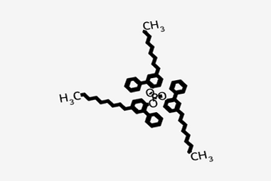 CCCCCCCCCc1ccc(OP(Oc2ccc(CCCCCCCCC)cc2-c2ccccc2)Oc2ccc(CCCCCCCCC)cc2-c2ccccc2)c(-c2ccccc2)c1